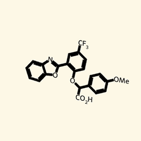 COc1ccc(C(Oc2ccc(C(F)(F)F)cc2-c2nc3ccccc3o2)C(=O)O)cc1